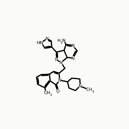 Cc1cccc2cc(CN3N=C(c4cn[nH]c4)C4C(N)=NC=NC43)n(C3CCN(C)CC3)c(=O)c12